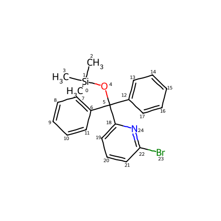 C[Si](C)(C)OC(c1ccccc1)(c1ccccc1)c1cccc(Br)n1